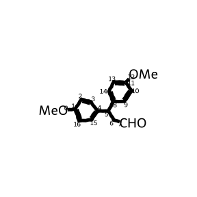 COc1ccc(C(CC=O)c2ccc(OC)cc2)cc1